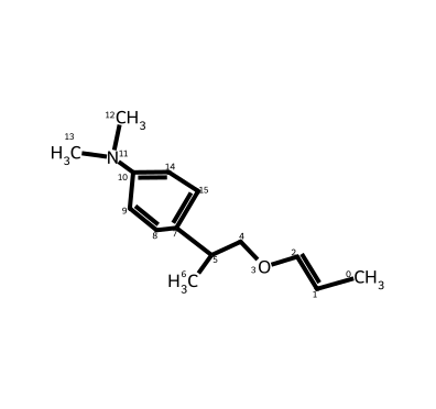 CC=COCC(C)c1ccc(N(C)C)cc1